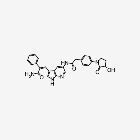 NC(=O)C(=Cc1c[nH]c2ncc(NC(=O)Cc3ccc(N4CCC(O)C4=O)cc3)cc12)c1ccccc1